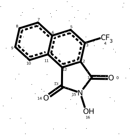 O=C1c2c(C(F)(F)F)cc3ccccc3c2C(=O)N1O